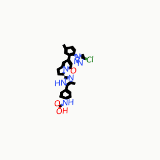 Cc1ccc(-n2cc(Cl)nn2)c(-c2cc3n(c(=O)c2)[C@H](c2nc(C)c(-c4ccc(NC(=O)O)cc4)[nH]2)CC3)c1